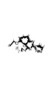 CCOc1cccc2nc(-n3ccnn3)nc(N)c12